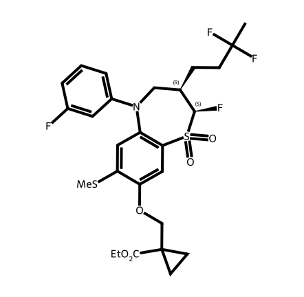 CCOC(=O)C1(COc2cc3c(cc2SC)N(c2cccc(F)c2)C[C@@H](CCC(C)(F)F)[C@@H](F)S3(=O)=O)CC1